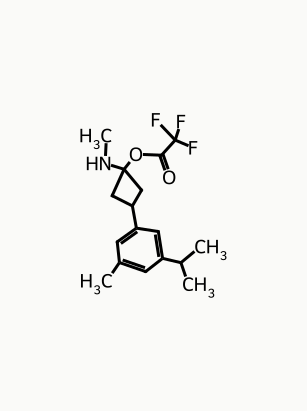 CNC1(OC(=O)C(F)(F)F)CC(c2cc(C)cc(C(C)C)c2)C1